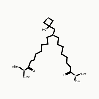 CCCCCCCCCCN(CCCCCCCCCC)C(=O)CCCCCCCN(CCCCCCCC(=O)N(CCCCCCCCCC)CCCCCCCCCC)CC1(O)COC1